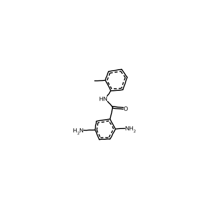 Cc1ccccc1NC(=O)c1cc(N)ccc1N